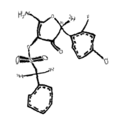 [2H]C([2H])(c1ccccc1)S(=O)(=O)OC1=C(N)O[C@]([2H])(c2ccc(Cl)cc2F)C1=O